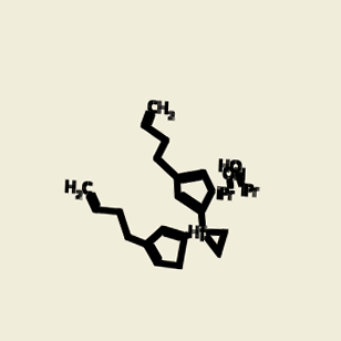 C=CCCC1=CC[C]([Hf]2([C]3=CC(CCC=C)=CC3)[CH2][CH2]2)=C1.CC(C)O.CC(C)O